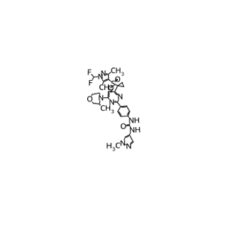 Cc1nn(C(F)F)c(C)c1S(=O)(=O)C1(c2cc(N3CCOC[C@@H]3C)nc(-c3ccc(NC(=O)Nc4cnn(C)c4)cc3)n2)CC1